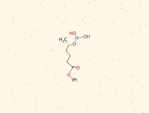 CC(C)OC(=O)CCC[C@H](C)ON(O)O